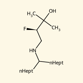 CCCCCCCC(CCCCCCC)NC[C@@H](F)C(C)(C)O